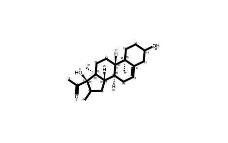 CC(=O)[C@@]1(O)C(C)C[C@H]2[C@@H]3CC=C4CC(O)CC[C@]4(C)[C@H]3CC[C@@]21C